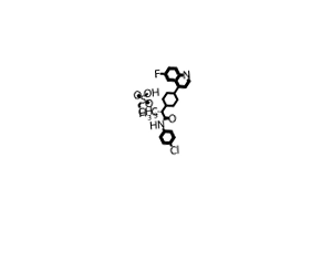 CCS(=O)(=O)O.C[C@@H](C(=O)Nc1ccc(Cl)cc1)C1CCC(c2ccnc3ccc(F)cc23)CC1